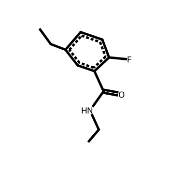 CCNC(=O)c1cc(CC)ccc1F